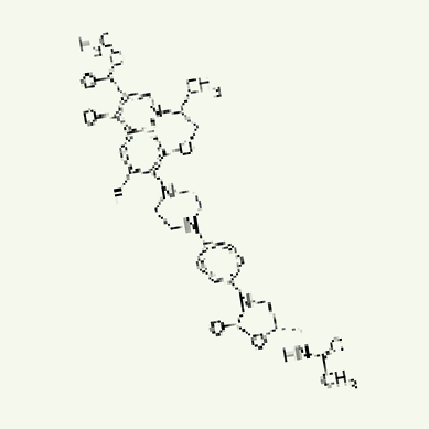 COC(=O)c1cn2c3c(c(N4CCN(c5ccc(N6C[C@H](CNC(C)=O)OC6=O)cc5)CC4)c(F)cc3c1=O)OCC2C